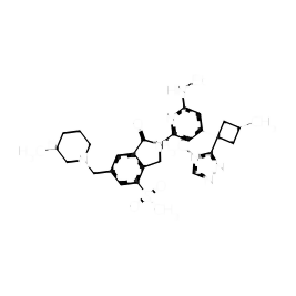 CCNc1cc([C@]2(c3nncn3C)C[C@@H](C)C2)cc(N2Cc3c(cc(CN4CCC[C@H](C)C4)cc3S(C)(=O)=O)C2=O)n1